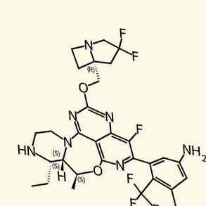 CC[C@@H]1NCCN2c3nc(OC[C@]45CCN4CC(F)(F)C5)nc4c(F)c(-c5cc(N)cc(C)c5C(F)(F)F)nc(c34)O[C@@H](C)[C@H]12